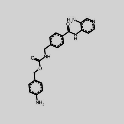 Nc1ccc(COC(=O)NCc2ccc(C(=O)Nc3ccncc3N)cc2)cc1